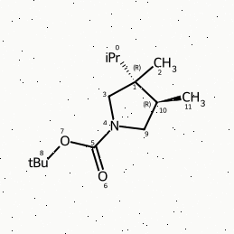 CC(C)[C@@]1(C)CN(C(=O)OC(C)(C)C)C[C@@H]1C